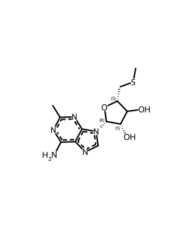 CSC[C@H]1O[C@@H](n2cnc3c(N)nc(C)nc32)[C@@H](O)C1O